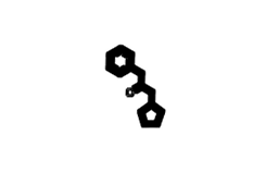 O=C(Cc1ccccc1)CC1CCCC1